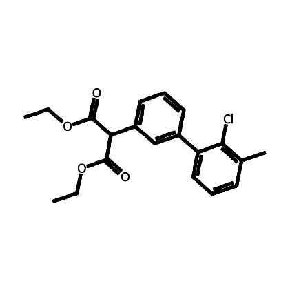 CCOC(=O)C(C(=O)OCC)c1cccc(-c2cccc(C)c2Cl)c1